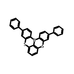 c1ccc(-c2ccc3c(c2)Sc2cccc4c2B3c2ccc(-c3ccccc3)cc2S4)cc1